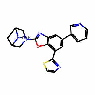 O=C(O)N1C2CC1CN(c1nc3cc(-c4cccnc4)cc(-c4nccs4)c3o1)C2